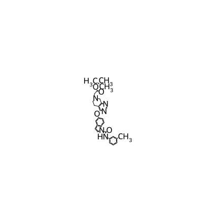 Cc1cccc(NC(=O)n2ccc3cc(Oc4ncnc5c4CCN(CC(=O)OC(C)(C)C)C5)ccc32)c1